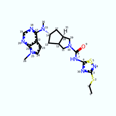 CCSc1nsc(NC(=O)N2CC3C[C@H](N(C)c4ncnc5c4ccn5C)C[C@H]3C2)n1